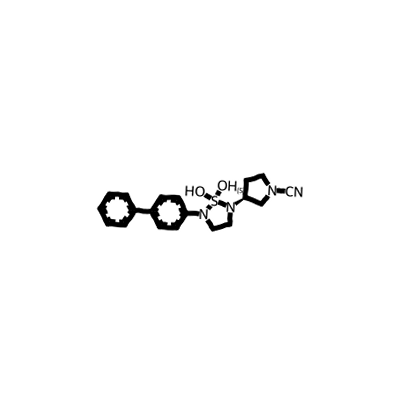 N#CN1CC[C@H](N2CCN(c3ccc(-c4ccccc4)cc3)S2(O)O)C1